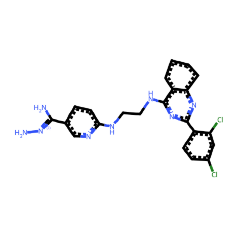 N/N=C(\N)c1ccc(NCCNc2nc(-c3ccc(Cl)cc3Cl)nc3ccccc23)nc1